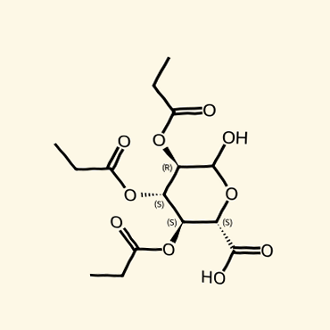 CCC(=O)O[C@H]1[C@H](OC(=O)CC)[C@@H](OC(=O)CC)C(O)O[C@@H]1C(=O)O